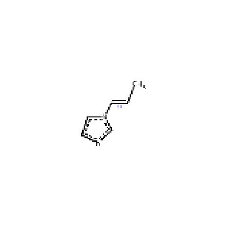 C/C=C/n1ccnc1